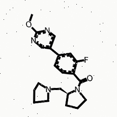 COc1ncc(-c2ccc(C(=O)N3CCC[C@H]3CN3CCCC3)c(F)c2)cn1